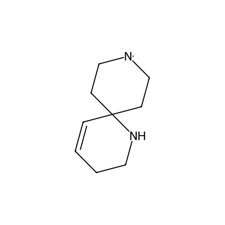 C1=CC2(CC[N]CC2)NCC1